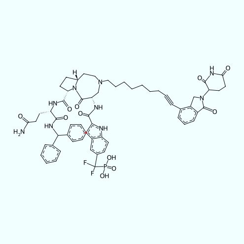 NC(=O)CC[C@H](NC(=O)[C@@H]1CC[C@@H]2CCN(CCCCCCCC#Cc3cccc4c3CN(C3CCC(=O)NC3=O)C4=O)C[C@H](NC(=O)c3cc4cc(C(F)(F)P(=O)(O)O)ccc4[nH]3)C(=O)N21)C(=O)NC(c1ccccc1)c1ccccc1